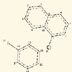 Clc1cccc2ccccc12.Ic1ccccc1